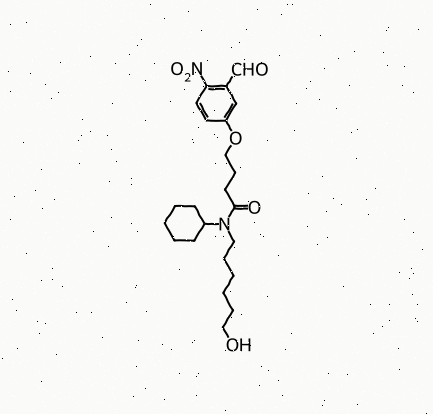 O=Cc1cc(OCCCC(=O)N(CCCCCCO)C2CCCCC2)ccc1[N+](=O)[O-]